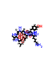 CC(C)C[C@H](NC(=O)[C@@H](NC(=O)[C@H](C)NC(=O)[C@H](C)NC(=O)[C@H](CC(C)C)NC(=O)[C@H](Cc1ccc(O)cc1)NC(=O)[C@@H](N)CCCCN)C(C)C)C(=O)O